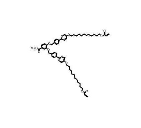 C=CC(=O)OCCCCCCCCCCCCOc1cnc(-c2ccc(COc3ccc(C(=O)OC)cc3OCc3ccc(-c4ncc(OCCCCCCCCCCCCOC(=O)C=C)cn4)cc3)cc2)nc1